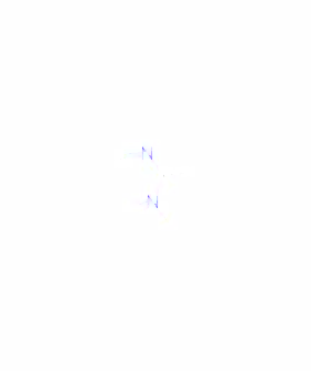 C=NC(C)N(C)C